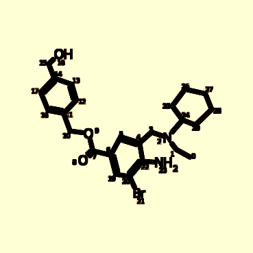 CCN(Cc1cc(C(=O)OCc2ccc(CO)cc2)cc(Br)c1N)C1CCCCC1